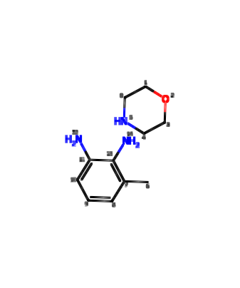 C1COCCN1.Cc1cccc(N)c1N